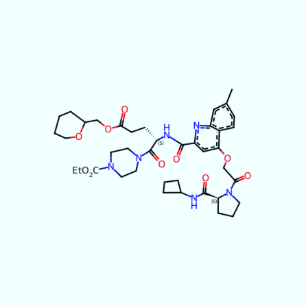 CCOC(=O)N1CCN(C(=O)[C@H](CCC(=O)OCC2CCCCO2)NC(=O)c2cc(OCC(=O)N3CCC[C@H]3C(=O)NC3CCC3)c3ccc(C)cc3n2)CC1